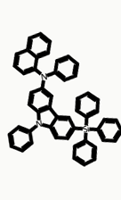 c1ccc(N(c2ccc3c(c2)c2cc([Si](c4ccccc4)(c4ccccc4)c4ccccc4)ccc2n3-c2ccccc2)c2cccc3ccccc23)cc1